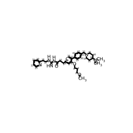 COCCCOc1cc(CCC(=O)NC(=N)NCCc2ccccn2)ccc1-c1ccc(CN2CCC(N(C)C)CC2)cc1